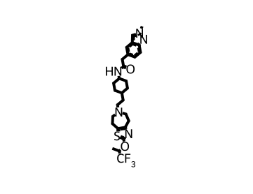 CC(Oc1nc2c(s1)CCN(CCC1CCC(NC(=O)Cc3ccc4nn(C)cc4c3)CC1)CC2)C(F)(F)F